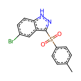 Cc1ccc(S(=O)(=O)c2n[nH]c3ccc(Br)cc23)cc1